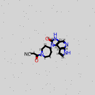 N#CCC(=O)N1CCCC(n2c(=O)[nH]c3cnc4[nH]ccc4c32)CC1